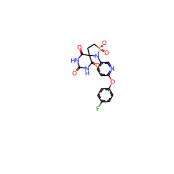 O=C1NC(=O)C2(CCS(=O)(=O)N2c2ccc(Oc3ccc(F)cc3)nc2)C(=O)N1